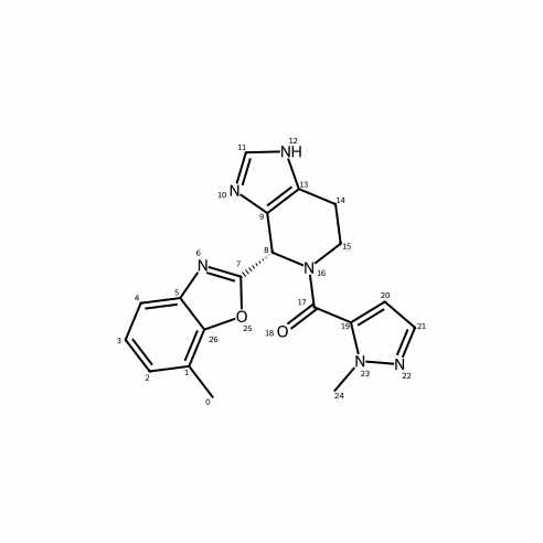 Cc1cccc2nc([C@@H]3c4nc[nH]c4CCN3C(=O)c3ccnn3C)oc12